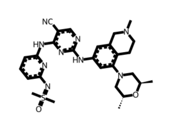 C[C@@H]1CN(c2cc(Nc3ncc(C#N)c(Nc4cccc(N=S(C)(C)=O)n4)n3)cc3c2CCN(C)C3)C[C@@H](C)O1